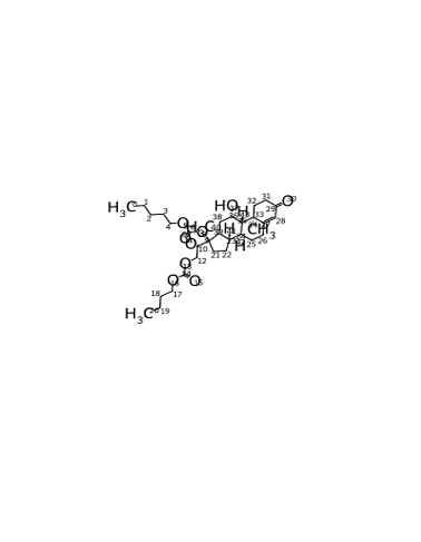 CCCCCOC(=O)O[C@]1(C(=O)COC(=O)OCCCC)CC[C@H]2[C@@H]3CCC4=CC(=O)CC[C@]4(C)[C@H]3[C@@H](O)C[C@@]21C